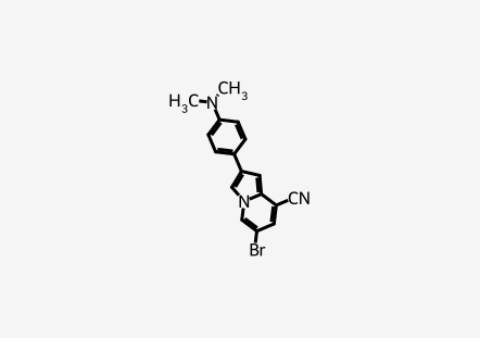 CN(C)c1ccc(-c2cc3c(C#N)cc(Br)cn3c2)cc1